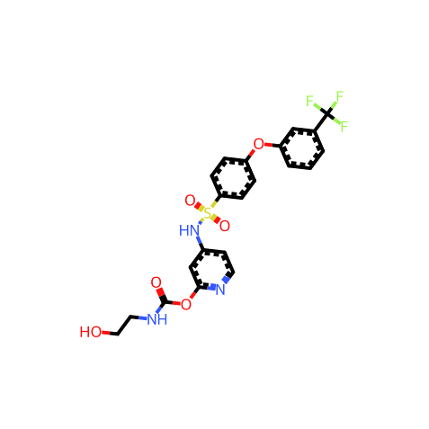 O=C(NCCO)Oc1cc(NS(=O)(=O)c2ccc(Oc3cccc(C(F)(F)F)c3)cc2)ccn1